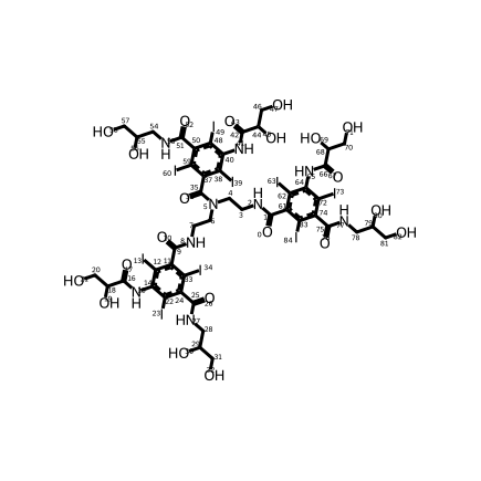 O=C(NCCN(CCNC(=O)c1c(I)c(NC(=O)C(O)CO)c(I)c(C(=O)NCC(O)CO)c1I)C(=O)c1c(I)c(NC(=O)C(O)CO)c(I)c(C(=O)NCC(O)CO)c1I)c1c(I)c(NC(=O)C(O)CO)c(I)c(C(=O)NCC(O)CO)c1I